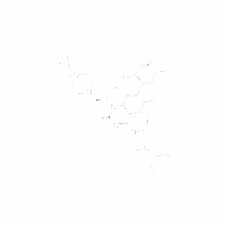 C=CC(O)N1CCN(c2nc(=O)n3c4c(c(-c5cc(Cl)c(F)cc5F)c(Cl)cc24)SC[C@@H]3CN2CCN(C3CC3)CC2)[C@@H](C)C1